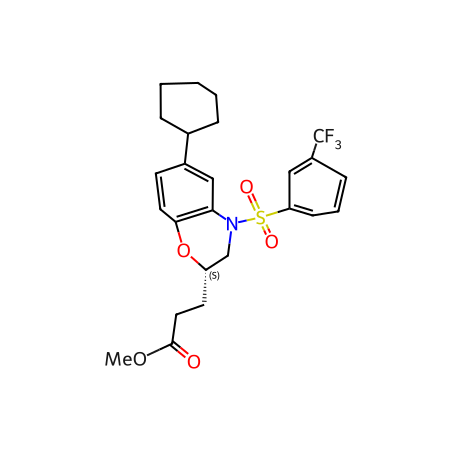 COC(=O)CC[C@H]1CN(S(=O)(=O)c2cccc(C(F)(F)F)c2)c2cc(C3CCCCC3)ccc2O1